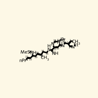 C/C=C(\C=N/CC)C(/C)=N/C1C=C(C(=N)NCC/C(C)=C/CC(C=CCCC)NSC)N=CN1C(C)C